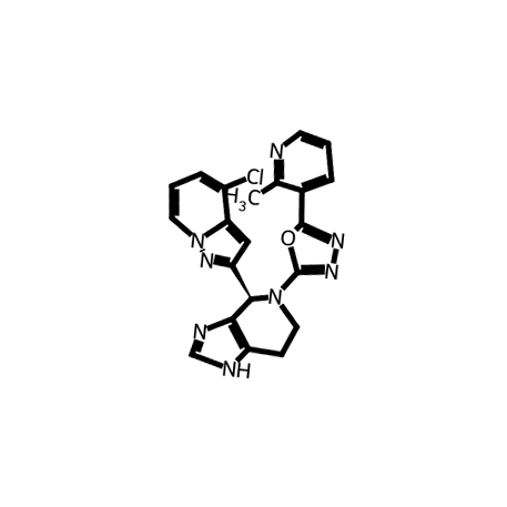 Cc1ncccc1-c1nnc(N2CCc3[nH]cnc3[C@H]2c2cc3c(Cl)cccn3n2)o1